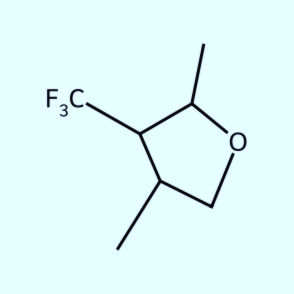 CC1COC(C)C1C(F)(F)F